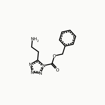 NCCc1nnnn1C(=O)OCc1ccccc1